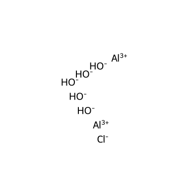 [Al+3].[Al+3].[Cl-].[OH-].[OH-].[OH-].[OH-].[OH-]